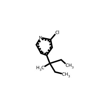 CCC(C)(CC)c1ccnc(Cl)c1